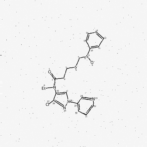 CCN(C(=O)CCSC[S+]([O-])c1ccccc1)c1cn(-c2cccnc2)nc1Cl